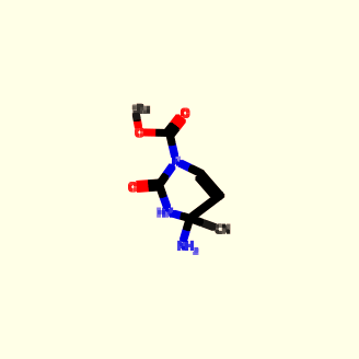 CC(C)(C)OC(=O)N1C=CC(N)(C#N)NC1=O